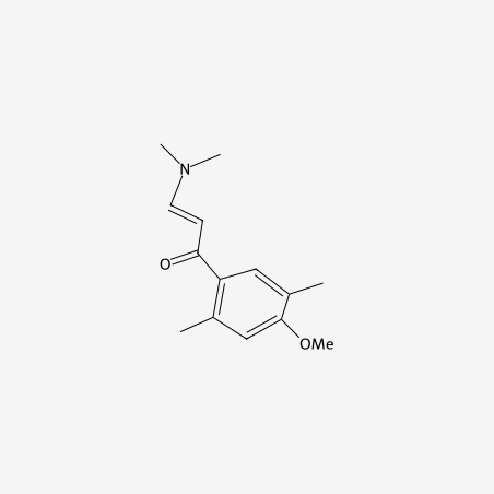 COc1cc(C)c(C(=O)/C=C/N(C)C)cc1C